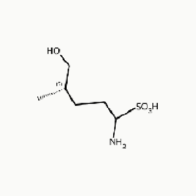 C[C@H](CO)CCC(N)S(=O)(=O)O